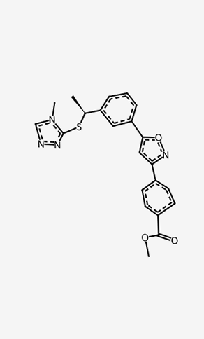 COC(=O)c1ccc(-c2cc(-c3cccc([C@H](C)Sc4nncn4C)c3)on2)cc1